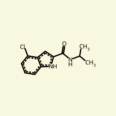 CC(C)NC(=O)c1cc2c(Cl)cccc2[nH]1